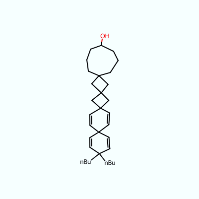 CCCCC1(CCCC)C=CC2(C=C1)C=CC1(C=C2)CC2(C1)CC1(CCCC(O)CCC1)C2